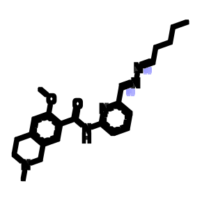 CCCC/C=N/N=C/c1cccc(NC(=O)c2cc3c(cc2OC)CCN(C)C3)n1